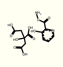 NOC(=O)c1ncccc1O.O=C(O)CC(O)(CC(=O)O)C(=O)O